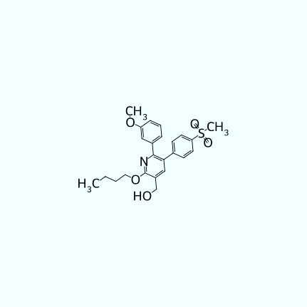 CCCCOc1nc(-c2cccc(OC)c2)c(-c2ccc(S(C)(=O)=O)cc2)cc1CO